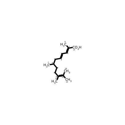 CC(=CC=CCC(C)CCC(C)=C(C)C)C(=O)O